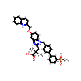 CC(C)(Cc1nc2cc(OCc3ccc4ccccc4n3)ccc2n1Cc1ccc(-c2cccc(S(C)(=O)=O)c2)cc1)C(=O)O